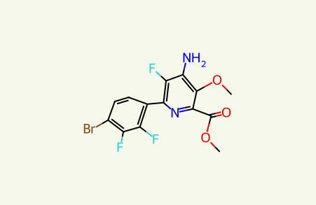 COC(=O)c1nc(-c2ccc(Br)c(F)c2F)c(F)c(N)c1OC